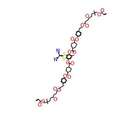 C=CC(=O)OCC(C)(C)CCC(=O)CCC(=O)OCCc1ccc(OC(=O)C2CCC(C(=O)Oc3cc(C)c(OC(=O)C4CCC(C(=O)Oc5ccc(CCOC(=O)CCC(=O)CCC(C)(C)COC(=O)C=C)cc5)CC4)c4c3SC(=C(C#N)C#N)S4)CC2)cc1